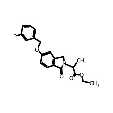 CCOC(=O)C(C)N1Cc2cc(OCc3cccc(F)c3)ccc2C1=O